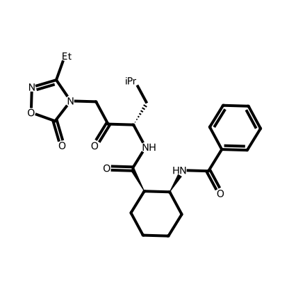 CCc1noc(=O)n1CC(=O)[C@H](CC(C)C)NC(=O)[C@@H]1CCCC[C@@H]1NC(=O)c1ccccc1